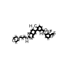 Cc1ccc(C(=O)Nc2cccc(C(F)(F)F)c2F)cc1-c1ccc2nc(NCCCN3CCOCC3)ncc2c1